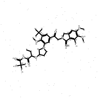 CCC(OC1CCN(c2cc(C(=O)CN3Cc4cc(OC)c(OC)c(F)c4C3=N)cc(C(C)(C)C)c2OC)C1)C(=O)OC(=O)C(F)(F)F